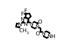 CC1CCN1c1nc(N2CCN(CC(=O)N3CCNCC3)C(=O)C2)c2c(n1)C(F)(F)CC2